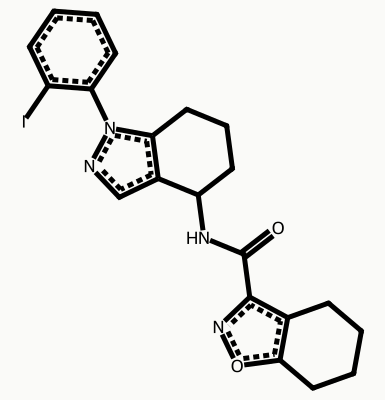 O=C(NC1CCCc2c1cnn2-c1ccccc1I)c1noc2c1CCCC2